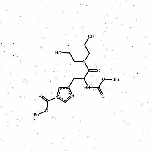 CC(C)(C)OC(=O)NC(Cc1cn(C(=O)OC(C)(C)C)cn1)C(=O)N(CCO)CCO